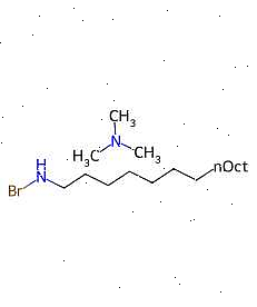 CCCCCCCCCCCCCCCNBr.CN(C)C